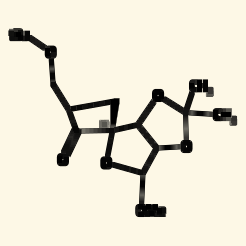 COC1O[C@@]2(CC(COC(C)(C)C)C2=O)C2OC(C)(C)OC12